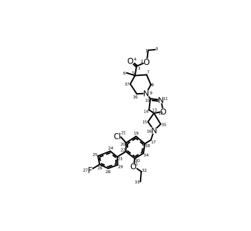 CCOC(=O)C1(C)CCN(C2=NOC3(C2)CN(Cc2cc(Cl)c(-c4ccc(F)cc4)c(OCC)c2)C3)CC1